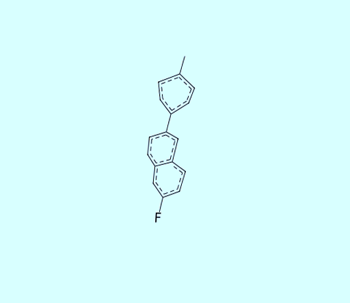 Cc1ccc(-c2ccc3cc(F)ccc3c2)cc1